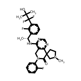 C[C@@H](Nc1ncnc2c1CN(c1ccccc1F)C(=O)C21CCN(C)C1)c1cccc(C(F)(F)C(C)(C)O)c1F